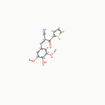 COc1cc(C=C(C#N)C(=O)c2cccs2)cc(OC)c1O